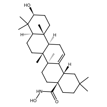 CC1(C)CC[C@]2(C(=O)NO)CC[C@]3(C)C(=CC[C@@H]4[C@@]5(C)CC[C@H](O)C(C)(C)[C@@H]5CC[C@]43C)[C@@H]2C1